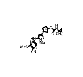 CNc1nc(Nc2cc([C@H]3CC[C@@H](OC(=O)NC4(C)CC4)C3)nn2C(C)(C)C)cnc1C#N